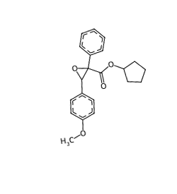 COc1ccc(C2OC2(C(=O)OC2CCCC2)c2ccccc2)cc1